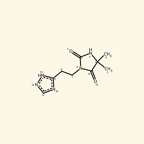 CC1(C)NC(=O)N(CCc2ncn[nH]2)C1=O